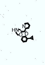 c1ccc([C@H](Oc2ccccc2C2CC2)[C@@H]2CNCCO2)nc1